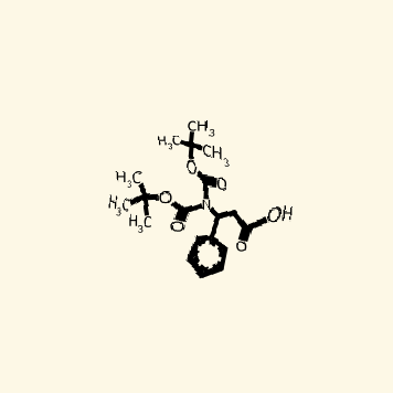 CC(C)(C)OC(=O)N(C(=O)OC(C)(C)C)C(CC(=O)O)c1ccccc1